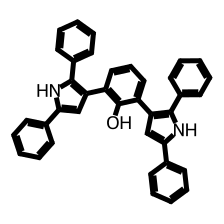 Oc1c(-c2cc(-c3ccccc3)[nH]c2-c2ccccc2)cccc1-c1cc(-c2ccccc2)[nH]c1-c1ccccc1